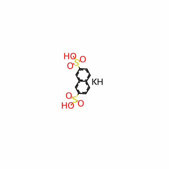 O=S(=O)(O)c1ccc2ccc(S(=O)(=O)O)cc2c1.[KH]